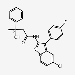 C[C@](O)(CC(=O)Nc1nn2ccc(Cl)cc2c1-c1ccc(F)cc1)c1ccccc1